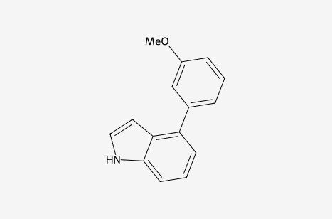 COc1cccc(-c2cccc3[nH]ccc23)c1